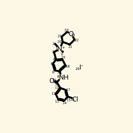 C[N+](C)(Cc1ccc(NC(=O)c2cccc(Cl)c2)cc1)C1CCOCC1.[I-]